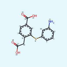 Nc1cccc(Sc2cc(C(=O)O)ccc2CC(=O)O)c1